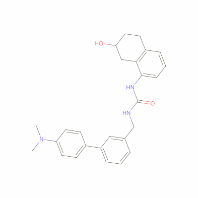 CN(C)c1ccc(-c2cccc(CNC(=O)Nc3cccc4c3CC(O)CC4)c2)cc1